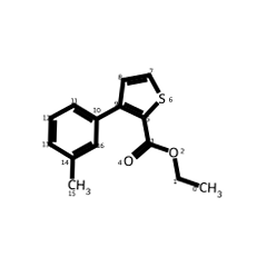 CCOC(=O)c1sccc1-c1cccc(C)c1